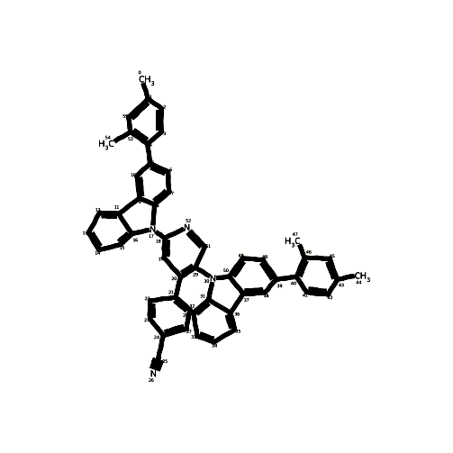 Cc1ccc(-c2ccc3c(c2)c2ccccc2n3-c2cc(-c3ccc(C#N)cc3)c(-n3c4ccccc4c4cc(-c5ccc(C)cc5C)ccc43)cn2)c(C)c1